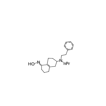 CCCN(CCc1ccccc1)C1CCC2=C(CCCC2=NO)C1